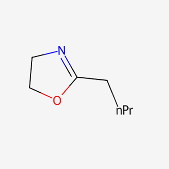 CCCCC1=NCCO1